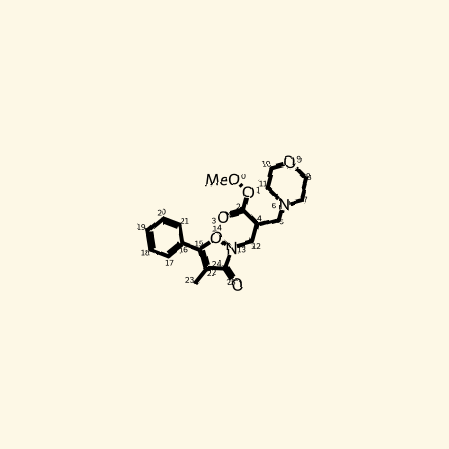 COOC(=O)C(CN1CCOCC1)Cn1oc(-c2ccccc2)c(C)c1=O